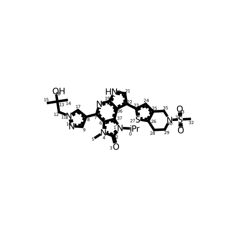 CC(C)n1c(=O)n(C)c2c(-c3cnn(CC(C)(C)O)c3)nc3[nH]cc(-c4cc5c(s4)CCN(S(C)(=O)=O)C5)c3c21